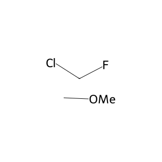 COC.FCCl